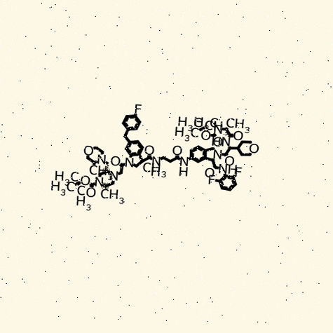 CC1COCCN1C[C@H]1CN(C(=O)OC(C)(C)C)[C@H](C)CN1CC(=O)N1CC(C)(C(=O)NCCC(=O)Nc2ccc3c(c2)C(C(=O)Nc2c(F)cccc2F)N(C(=O)C(NC(=O)C(C)N(C)C(=O)OC(C)(C)C)C2CCOCC2)C3)c2ccc(Cc3ccc(F)cc3)cc21